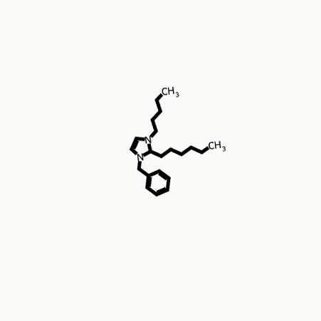 CCCCCCC1N(CCCCC)C=CN1Cc1ccccc1